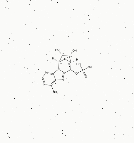 Nc1ncnc2c1nc1n2[C@@H]2O[C@H](C1OP(=O)(O)O)[C@@H](O)[C@H]2O